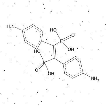 Nc1ccc(C(=C(c2ccc(N)cc2)P(=O)(O)O)P(=O)(O)O)cc1